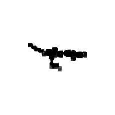 CCCCCCCCOc1ccc(C(=O)Oc2ccc(-c3ccc(OC(=O)c4ccc(OC)cc4)cc3)cc2)c(OCCCN)c1